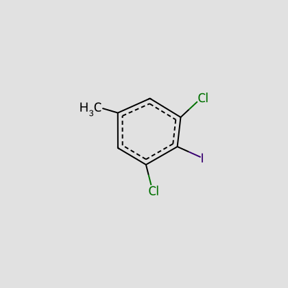 Cc1cc(Cl)c(I)c(Cl)c1